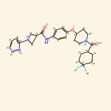 O=C(Nc1ccc(OC2CCN(C(=O)C3CCC(F)(F)CC3)CC2)cc1)C1CN(c2cccnn2)C1